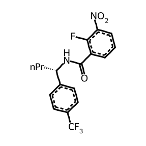 CCC[C@H](NC(=O)c1cccc([N+](=O)[O-])c1F)c1ccc(C(F)(F)F)cc1